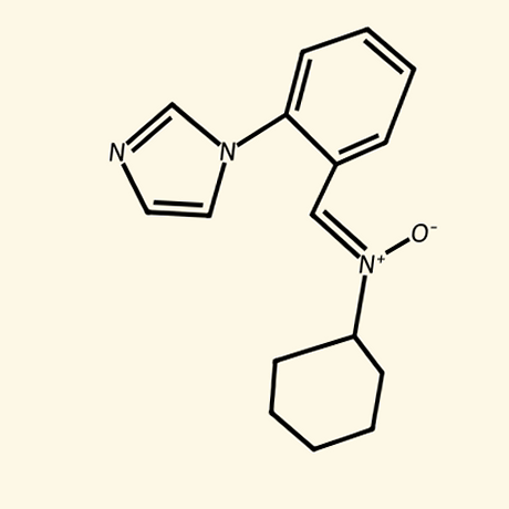 [O-][N+](=Cc1ccccc1-n1ccnc1)C1CCCCC1